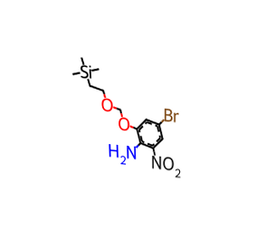 C[Si](C)(C)CCOCOc1cc(Br)cc([N+](=O)[O-])c1N